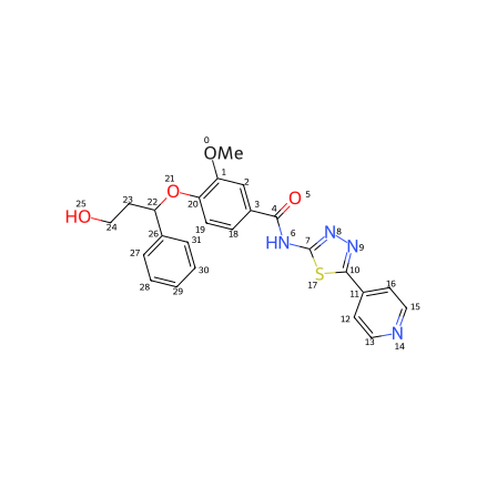 COc1cc(C(=O)Nc2nnc(-c3ccncc3)s2)ccc1OC(CCO)c1ccccc1